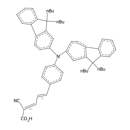 CCCCC1(CCCC)c2ccccc2-c2ccc(N(c3ccc(/C=C/C=C(\C#N)C(=O)O)cc3)c3ccc4c(c3)C(CCCC)(CCCC)c3ccccc3-4)cc21